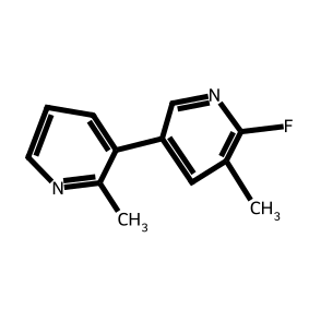 Cc1cc(-c2cccnc2C)cnc1F